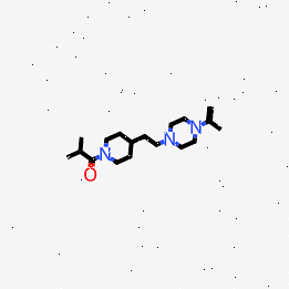 C=C(C)N1CCN(CCC2CCN(C(=O)C(C)C)CC2)CC1